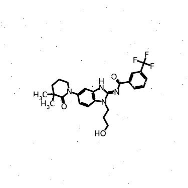 CC1(C)CCCN(c2ccc3c(c2)[nH]/c(=N\C(=O)c2cccc(C(F)(F)F)c2)n3CCCO)C1=O